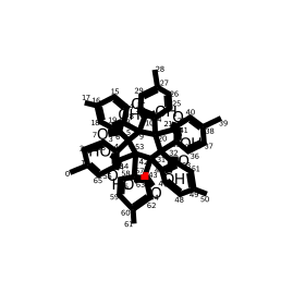 Cc1ccc(C2(C(=O)O)C(C(=O)O)(c3ccc(C)cc3)C(C(=O)O)(c3ccc(C)cc3)C(C(=O)O)(c3ccc(C)cc3)C(C(=O)O)(c3ccc(C)cc3)C2(C(=O)O)c2ccc(C)cc2)cc1